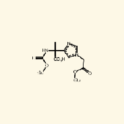 CC(C)(C)OC(=O)Cn1cnc(C(C)(NC(=O)OC(C)(C)C)C(=O)O)c1